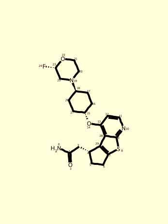 NC(=O)C[C@H]1CCc2sc3nccc(O[C@H]4CC[C@H](N5CCO[C@@H](F)C5)CC4)c3c21